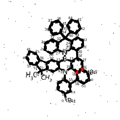 CC(C)(C)c1ccc(N2c3cc4c(cc3B3c5c(cc(C(C)(C)C)cc52)-c2cccc5c2N3c2ccccc2C5(c2ccccc2)c2ccccc2)-c2ccccc2C4(C)C)c(-c2ccccc2)c1